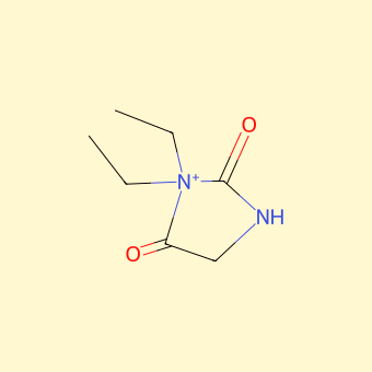 CC[N+]1(CC)C(=O)CNC1=O